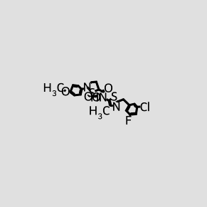 COc1ccc(N2CCC(C(=O)Nc3sc(Cc4cc(F)cc(Cl)c4)nc3C)S2(=O)=O)cc1